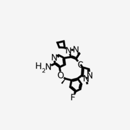 C[C@H]1Oc2cc(cnc2N)-c2c(cnn2C2CCC2)Cc2cnn(C)c2-c2ccc(F)cc21